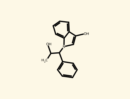 [CH2]C(O)C(c1ccccc1)n1cc(O)c2ccccc21